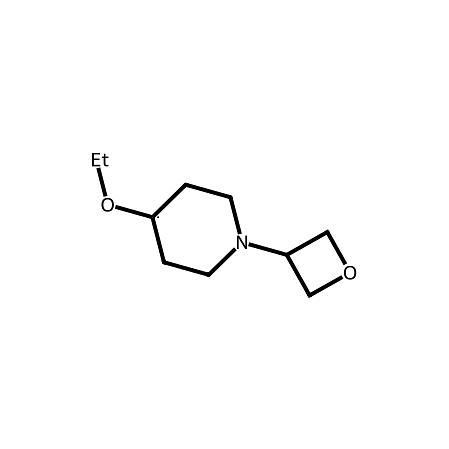 CCO[C]1CCN(C2COC2)CC1